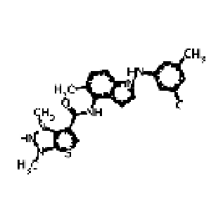 Cc1cc(Cl)cc(Nn2ccc3c(NC(=O)c4csc5c4N(C)NN5C)c(C)ccc32)c1